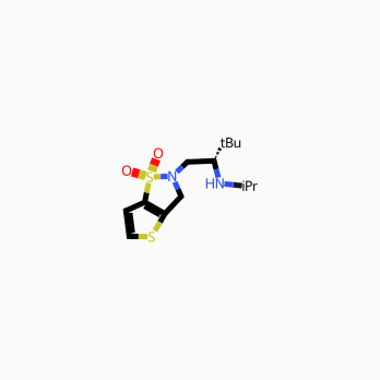 CC(C)N[C@H](CN1Cc2sccc2S1(=O)=O)C(C)(C)C